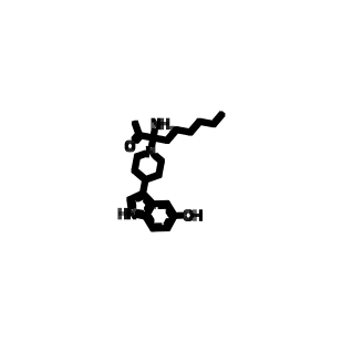 CCCCCCC(N)(C(C)=O)N1CCC(c2c[nH]c3ccc(O)cc23)CC1